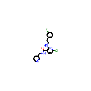 O=C(NCc1cccnc1)c1ccc(Cl)nc1NCCc1cccc(F)c1